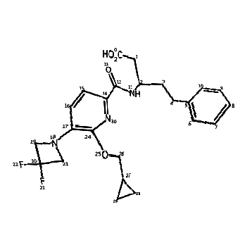 O=C(O)CC(CCc1ccccc1)NC(=O)c1ccc(N2CC(F)(F)C2)c(OCC2CC2)n1